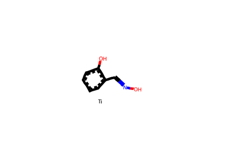 ON=Cc1ccccc1O.[Ti]